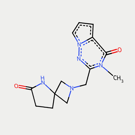 Cn1c(CN2CC3(CCC(=O)N3)C2)nn2cccc2c1=O